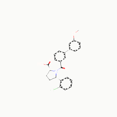 COc1cccc(-c2cccc(C(=O)N3[C@@H](c4ccccc4Cl)CC[C@H]3C(=O)O)c2)c1